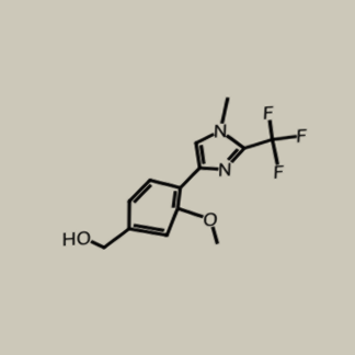 COc1cc(CO)ccc1-c1cn(C)c(C(F)(F)F)n1